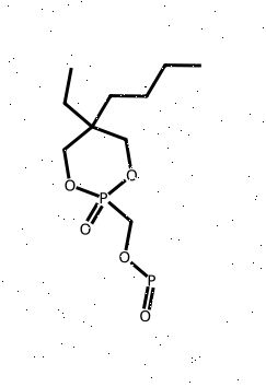 CCCCC1(CC)COP(=O)(COP=O)OC1